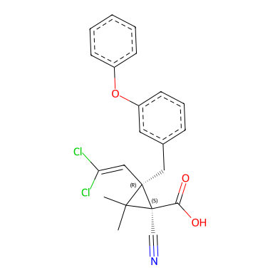 CC1(C)[C@](C=C(Cl)Cl)(Cc2cccc(Oc3ccccc3)c2)[C@@]1(C#N)C(=O)O